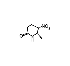 C[C@H]1NC(=O)CC[C@@H]1[N+](=O)[O-]